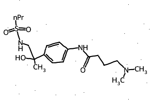 CCCS(=O)(=O)NCC(C)(O)c1ccc(NC(=O)CCCN(C)C)cc1